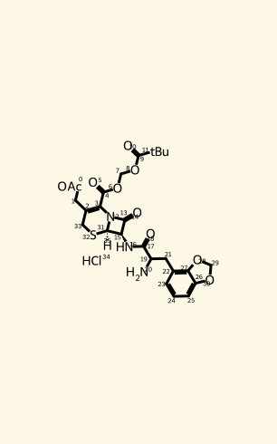 CC(=O)OCC1=C(C(=O)OCOC(=O)C(C)(C)C)N2C(=O)[C@@H](NC(=O)C(N)Cc3cccc4c3OCO4)[C@H]2SC1.Cl